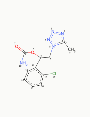 Cc1nnnn1CC(OC(N)=O)c1ccccc1Cl